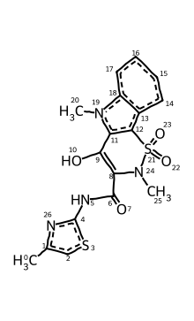 Cc1csc(NC(=O)C2=C(O)c3c(c4ccccc4n3C)S(=O)(=O)N2C)n1